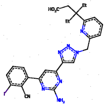 CCC(CC)(CC(=O)O)c1cccc(Cn2cc(-c3cc(-c4cccc(I)c4C#N)nc(N)n3)nn2)n1